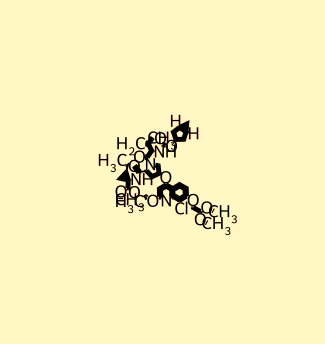 C=C(C)[C@H](NC(=O)O[C@@H]1C[C@@H]2C[C@@H]2C1)C(=O)N1C[C@H](Oc2cc(OCC)nc3c(Cl)c(OCC(OC)OC)ccc23)C[C@H]1C(=O)N[C@]1(C(=O)OC)C[C@H]1CC